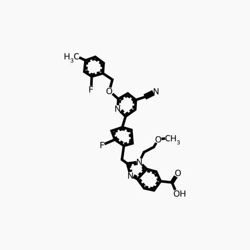 COCCn1c(Cc2ccc(-c3cc(C#N)cc(OCc4ccc(C)cc4F)n3)cc2F)nc2ccc(C(=O)O)cc21